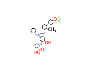 Cc1c(Cc2cn(Cc3ccccc3)c3cc(CN4CCC[C@H]4C(=O)O)c(O)cc23)cccc1-c1ccc(OC(F)(F)F)cc1